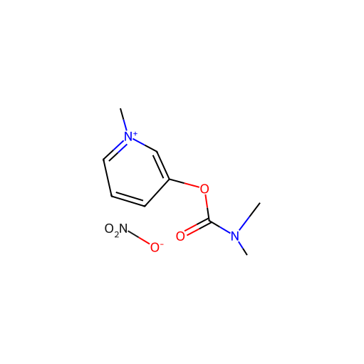 CN(C)C(=O)Oc1ccc[n+](C)c1.O=[N+]([O-])[O-]